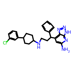 Nc1cc(C(CCNC2CCC(c3cccc(Cl)c3)CC2)c2ccccc2)c2nn[nH]c2n1